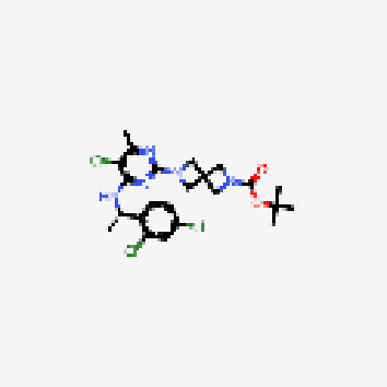 Cc1nc(N2CC3(CN(C(=O)OC(C)(C)C)C3)C2)nc(N[C@H](C)c2ccc(Cl)cc2Cl)c1Cl